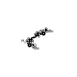 CN(Cc1cccc(NC(=O)OC(C)(C)C)c1)C(=O)C(=O)C(=O)CC#CCC(=O)C(=O)C(=O)N(C)Cc1cccc(NC(=O)OC(C)(C)C)c1